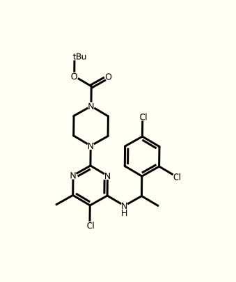 Cc1nc(N2CCN(C(=O)OC(C)(C)C)CC2)nc(NC(C)c2ccc(Cl)cc2Cl)c1Cl